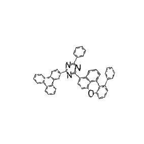 c1ccc(-c2nc(-c3ccc4c5ccccc5c5ccccc5c4c3)nc(-c3ccc4c5c(cccc35)-c3c(cccc3-c3ccccc3)O4)n2)cc1